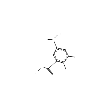 COC(=O)c1cc(B(O)O)cc(F)c1Br